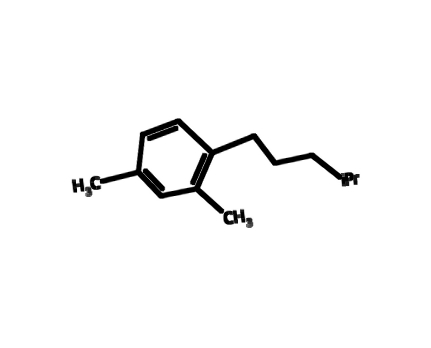 Cc1ccc(CCCC(C)C)c(C)c1